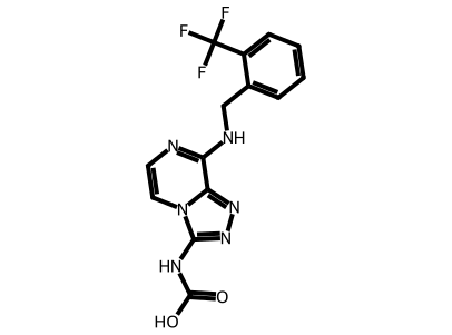 O=C(O)Nc1nnc2c(NCc3ccccc3C(F)(F)F)nccn12